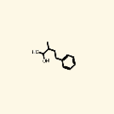 CC(CCc1ccccc1)C(O)O